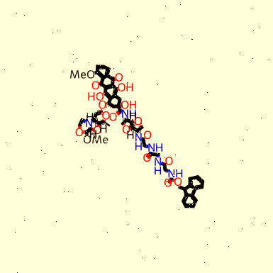 COc1cccc2c1C(=O)c1c(O)c3c(c(O)c1C2=O)C[C@@](O)(C(=O)N[C@H]1CO[C@H]2[C@@H]1OC[C@@H]2NC(=O)CNC(=O)CNC(=O)CNC(=O)OCC1c2ccccc2-c2ccccc21)C[C@@H]3O[C@H]1C[C@H]2[C@H](O[C@@H]3[C@@H](OC)OCCN32)[C@H](C)O1